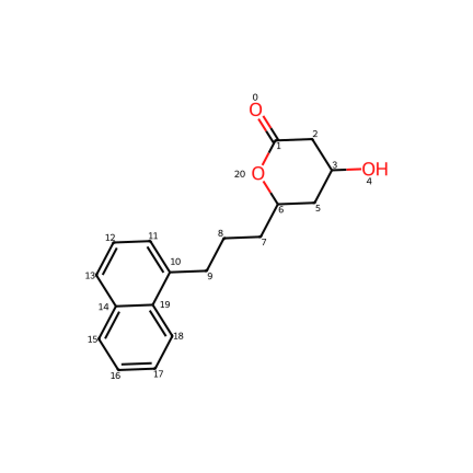 O=C1CC(O)CC(CCCc2cccc3ccccc23)O1